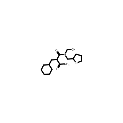 N#CCN(CC1CCCO1)C(=O)C(CC1CCCCC1)C(N)=O